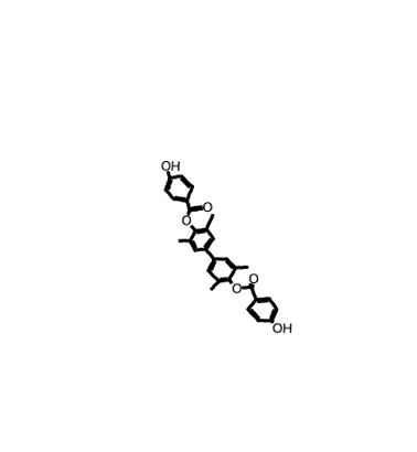 Cc1cc(-c2cc(C)c(OC(=O)c3ccc(O)cc3)c(C)c2)cc(C)c1OC(=O)c1ccc(O)cc1